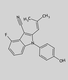 CC(C)=Cc1c(C#N)c2c(F)cccc2n1-c1ccc(O)cc1